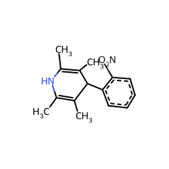 CC1=C(C)C(c2ccccc2[N+](=O)[O-])C(C)=C(C)N1